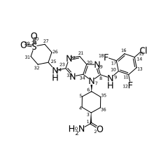 NC(=O)[C@H]1CC[C@@H](n2c(Nc3c(F)cc(Cl)cc3F)nc3cnc(NC4CCS(=O)(=O)CC4)nc32)CC1